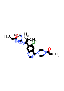 C=CC(=O)N/C(N=C)=N/C(=C(C)C)c1cc2ncnc(N3CCN(C(=O)C=C)CC3)c2cc1Cl